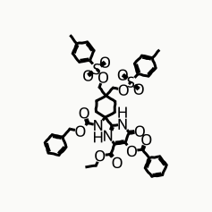 CCOC(=O)c1nc(C2(NC(=O)OCc3ccccc3)CCC(COS(=O)(=O)c3ccc(C)cc3)(COS(=O)(=O)c3ccc(C)cc3)CC2)[nH]c(=O)c1OC(=O)c1ccccc1